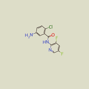 Nc1ccc(Cl)c(C(=O)Nc2ncc(F)cc2F)c1